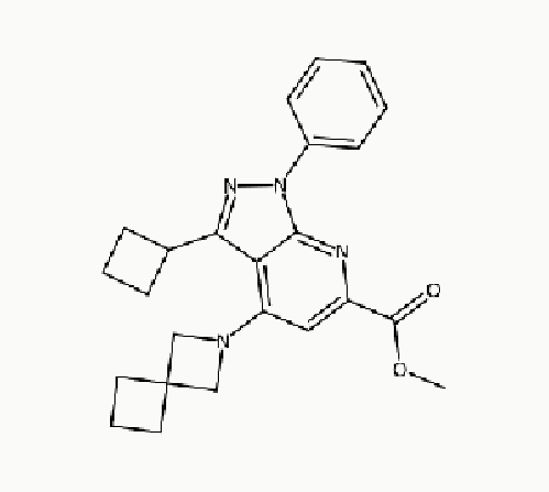 COC(=O)c1cc(N2CC3(CCC3)C2)c2c(C3CCC3)nn(-c3ccccc3)c2n1